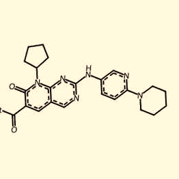 CCC(=O)c1cc2cnc(Nc3ccc(N4CCCCC4)nc3)nc2n(C2CCCC2)c1=O